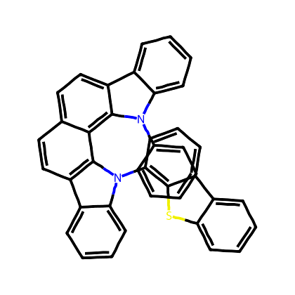 c1ccc(-n2c3ccccc3c3ccc4ccc5c6ccccc6n(-c6cccc7c6sc6ccccc67)c5c4c32)cc1